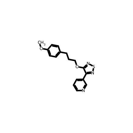 COc1ccc(CCCOc2nsnc2-c2cccnc2)cc1